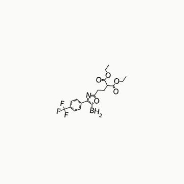 Bc1oc(CCC(C(=O)OCC)C(=O)OCC)nc1-c1ccc(C(F)(F)F)cc1